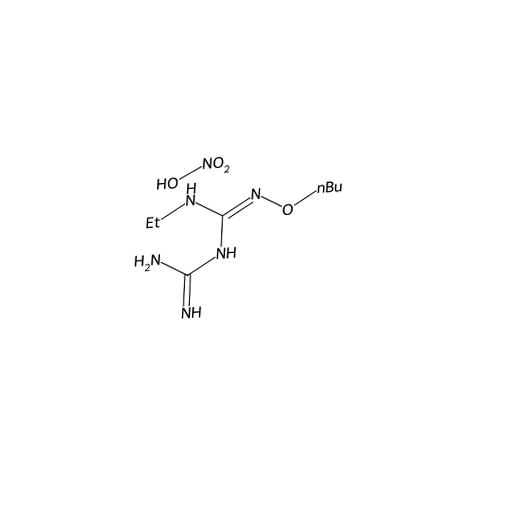 CCCCON=C(NCC)NC(=N)N.O=[N+]([O-])O